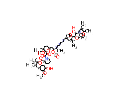 CO[C@@H]1C[C@H](C[C@@H](C)[C@H](C)OC(=O)[C@@H]2CCCCN2C(=O)C(=O)[C@]2(O)O[C@H](CC(OC3COC3)/C(C)=C/C=C/C=C/[C@@H](C)C[C@@H](C)C(=O)[C@H](OC)[C@H](O)/C(C)=C/[C@@H](C)C(C)=O)CC[C@H]2C)CC[C@H]1O